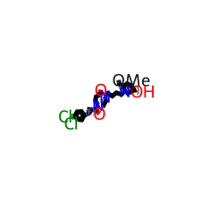 COC[C@@H]1CC[C@@H](O)CN1CCCCN1CCN(C(=O)/C=C/c2ccc(Cl)c(Cl)c2)CCC1=O